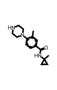 Cc1cc(C(=O)NC2(C)CC2)ccc1N1CCNCC1